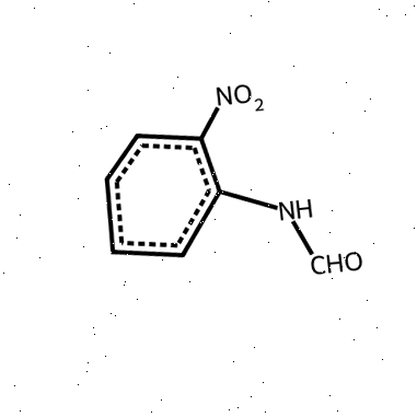 O=CNc1ccccc1[N+](=O)[O-]